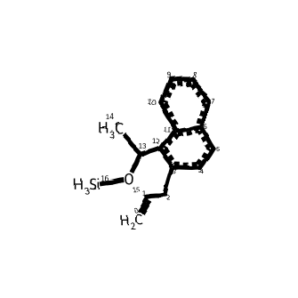 C=CCc1ccc2ccccc2c1C(C)O[SiH3]